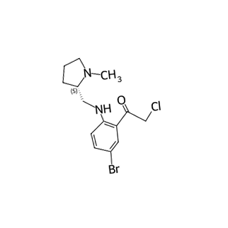 CN1CCC[C@H]1CNc1ccc(Br)cc1C(=O)CCl